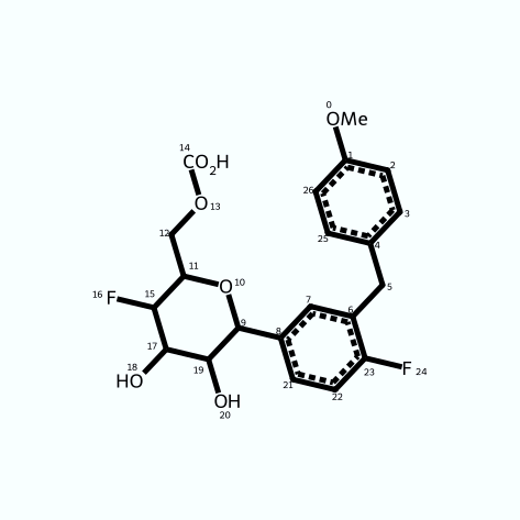 COc1ccc(Cc2cc(C3OC(COC(=O)O)C(F)C(O)C3O)ccc2F)cc1